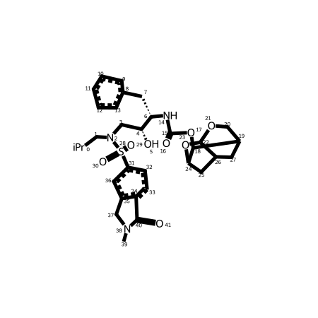 CC(C)CN(C[C@@H](O)[C@H](Cc1ccccc1)NC(=O)OC1C2COC3OC1CC3C2)S(=O)(=O)c1ccc2c(c1)CN(C)C2=O